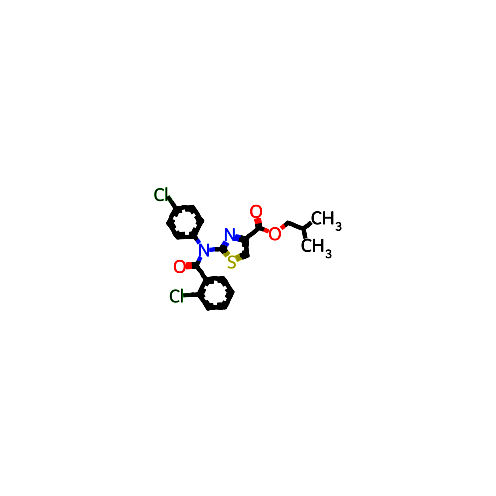 CC(C)COC(=O)c1csc(N(C(=O)c2ccccc2Cl)c2ccc(Cl)cc2)n1